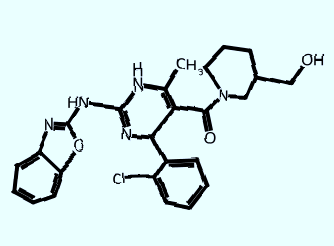 CC1=C(C(=O)N2CCCC(CO)C2)C(c2ccccc2Cl)N=C(Nc2nc3ccccc3o2)N1